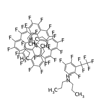 CCC[NH+](CCC)c1cc(F)c(F)c(C(F)(F)C(F)(F)F)c1F.CCc1c(F)c(F)c(F)c2c(F)c(F)c(F)c([B-](c3c(F)c(F)c(F)c4c(F)c(F)c(F)c(CC)c34)(c3c(F)c(F)c(F)c4c(F)c(F)c(F)c(CC)c34)c3c(F)c(F)c(F)c4c(F)c(F)c(F)c(CC)c34)c12